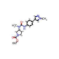 CN(C(=O)Nc1ccc(-c2cnn(C)c2)cc1)C1CCN(C(=O)OC(C)(C)C)C1